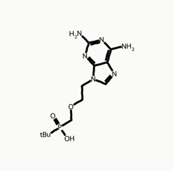 CC(C)(C)P(=O)(O)COCCn1cnc2c(N)nc(N)nc21